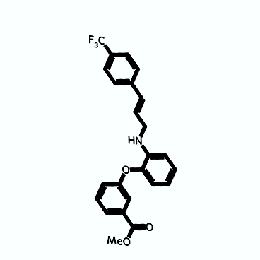 COC(=O)c1cccc(Oc2ccccc2NCC=Cc2ccc(C(F)(F)F)cc2)c1